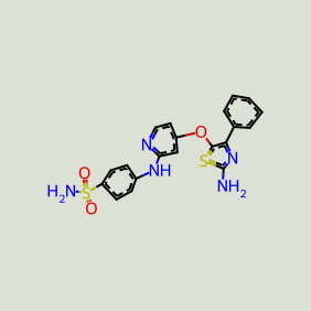 Nc1nc(-c2ccccc2)c(Oc2ccnc(Nc3ccc(S(N)(=O)=O)cc3)c2)s1